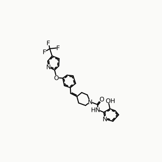 O=C(Nc1ncccc1O)N1CCC(=Cc2cccc(Oc3ccc(C(F)(F)F)cn3)c2)CC1